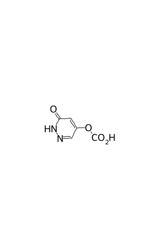 O=C(O)Oc1cn[nH]c(=O)c1